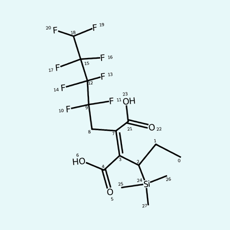 CCC(C(C(=O)O)=C(CC(F)(F)C(F)(F)C(F)(F)C(F)F)C(=O)O)[Si](C)(C)C